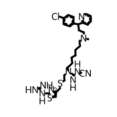 CN(CCCCCCCN(CCSCc1csc(NC(=N)N)n1)C(=N)NC#N)CCC(c1ccc(Cl)cc1)c1ccccn1